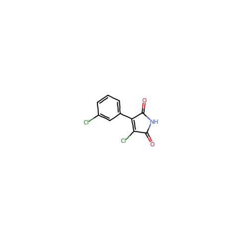 O=C1NC(=O)C(c2cccc(Cl)c2)=C1Cl